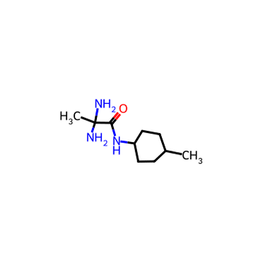 CC1CCC(NC(=O)C(C)(N)N)CC1